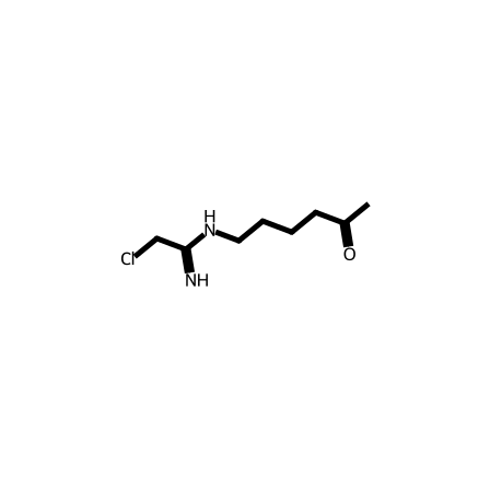 CC(=O)CCCCNC(=N)CCl